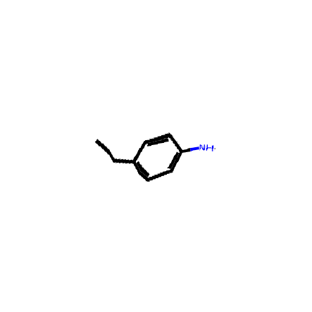 CCc1ccc([NH])cc1